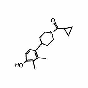 Cc1c(O)ccc(C2CCN(C(=O)C3CC3)CC2)c1C